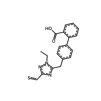 CCn1nc(C=S)nc1Cc1ccc(-c2ccccc2C(=O)O)cc1